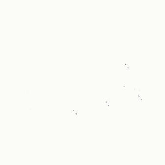 C[C@H]1C[C@]1(C#N)n1c(C(=O)N(C)c2ccccc2)cc2cc(C3CCOC(C)(C)C3)ncc21